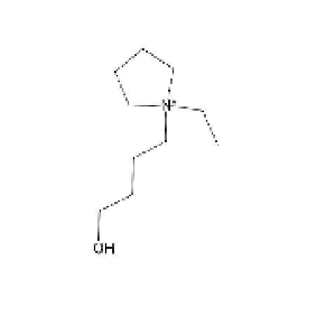 CC[N+]1(CCCCO)CCCC1